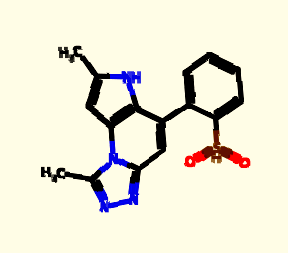 Cc1cc2c([nH]1)c(-c1ccccc1[SH](=O)=O)cc1nnc(C)n12